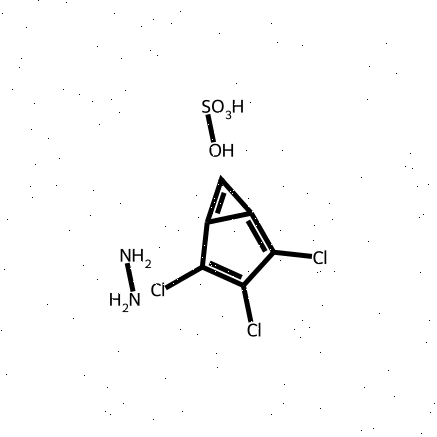 Clc1c2cc-2c(Cl)c1Cl.NN.O=S(=O)(O)O